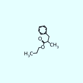 CCCOC(=O)C(C)Cc1ccccc1